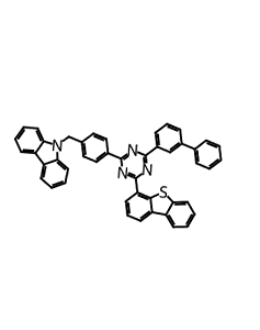 c1ccc(-c2cccc(-c3nc(-c4ccc(Cn5c6ccccc6c6ccccc65)cc4)nc(-c4cccc5c4sc4ccccc45)n3)c2)cc1